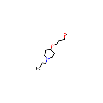 N#CCCN1CCC(OCCC[O])CC1